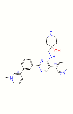 C=C/C(=C\N(C)C)c1cccc(-c2ncc(C(/C=N\C)=C/C)c(NCC3(O)CCNCC3)n2)c1